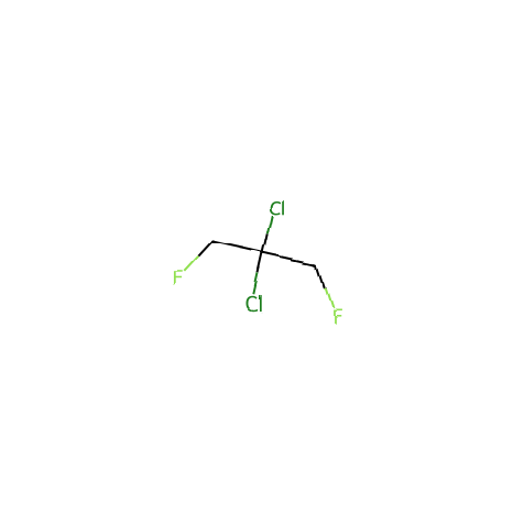 FCC(Cl)(Cl)CF